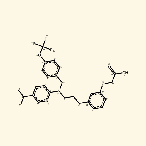 CC(C)c1ccc(N(CCCc2cccc(OCC(=O)O)c2)Cc2ccc(OC(F)(F)F)cc2)nc1